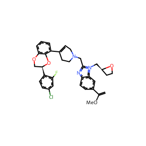 C=C(OC)c1ccc2nc(CN3CC=C(c4cccc5c4O[C@@H](c4ccc(Cl)cc4F)CO5)CC3)n(C[C@@H]3CCO3)c2c1